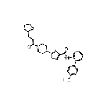 Cc1ccc(-c2ccccc2NC(=O)c2csc(C3CCN(C(=O)CCC4CC=CO4)CC3)n2)cc1